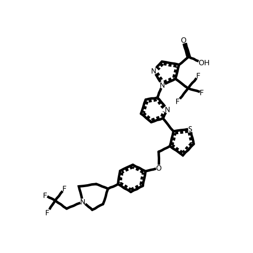 O=C(O)c1cnn(-c2cccc(-c3sccc3COc3ccc(C4CCN(CC(F)(F)F)CC4)cc3)n2)c1C(F)(F)F